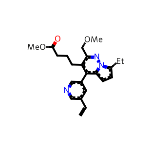 C=Cc1cncc(-c2c(CCCC(=O)OC)c(COC)nn3c(CC)ccc23)c1